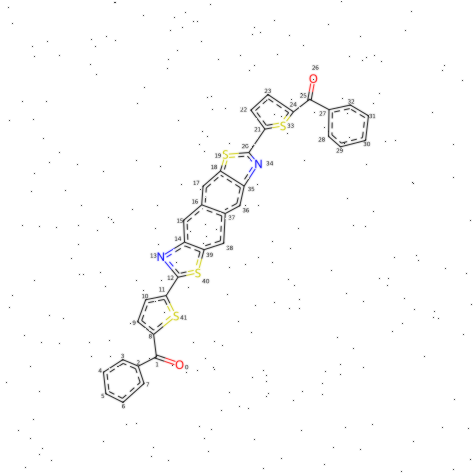 O=C(c1ccccc1)c1ccc(-c2nc3cc4cc5sc(-c6ccc(C(=O)c7ccccc7)s6)nc5cc4cc3s2)s1